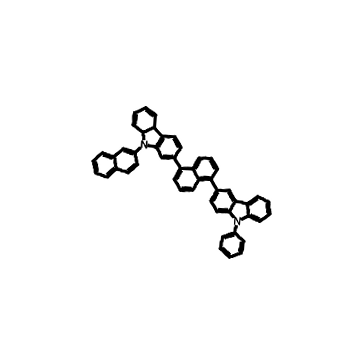 C1=CC2c3ccc(-c4cccc5c(-c6ccc7c(c6)c6ccccc6n7-c6ccccc6)cccc45)cc3N(c3ccc4ccccc4c3)C2C=C1